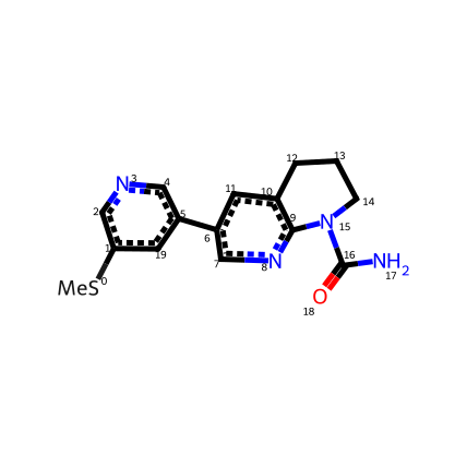 CSc1cncc(-c2cnc3c(c2)CCCN3C(N)=O)c1